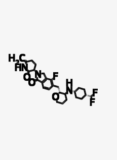 C=C1CC[C@H](N2Cc3c(ccc(C[C@H]4OCCC[C@@H]4N[C@H]4CC[C@@H](C(F)F)CC4)c3F)C2=O)C(=O)N1